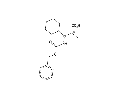 C[C@@H](C(=O)O)N(NC(=O)OCc1ccccc1)C1CCCCC1